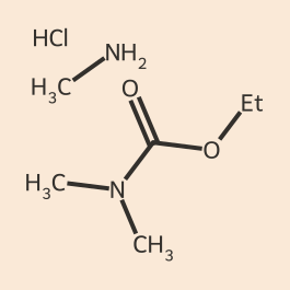 CCOC(=O)N(C)C.CN.Cl